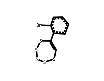 Brc1ccccc1C1=CSSSSS1